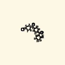 O=C(c1ccc(Cl)cc1)c1ccc(C(=O)c2ccccc2F)cc1